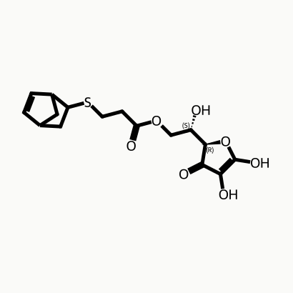 O=C(CCSC1CC2C=CC1C2)OC[C@H](O)[C@H]1OC(O)=C(O)C1=O